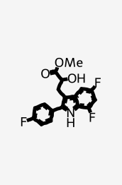 COC(=O)C(O)Cc1c(-c2ccc(F)cc2)[nH]c2c(F)cc(F)cc12